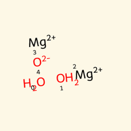 O.O.[Mg+2].[Mg+2].[O-2]